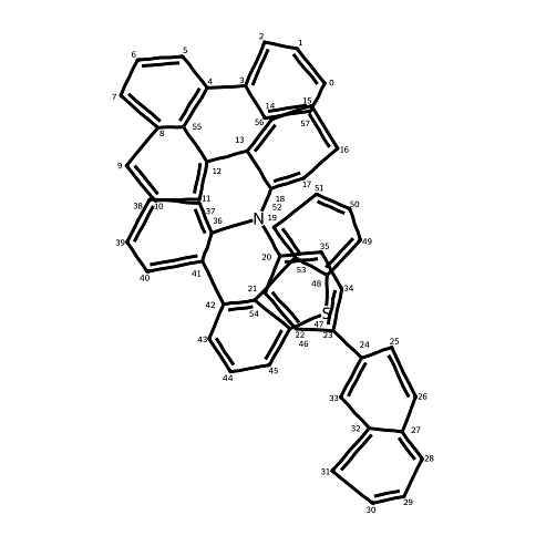 c1ccc(-c2cccc3cccc(-c4ccccc4N(c4ccc(-c5ccc6ccccc6c5)cc4)c4ccccc4-c4cccc5sc6ccccc6c45)c23)cc1